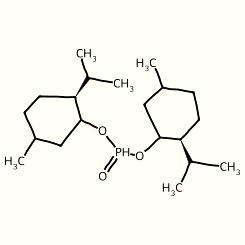 CC1CC[C@@H](C(C)C)C(O[PH](=O)OC2CC(C)CC[C@H]2C(C)C)C1